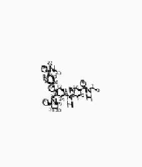 CCNC(=O)c1ccc(Nc2ccc(Oc3ccc(C(=O)N(C)C)nc3)c(CN3CCCC3=O)c2)nc1